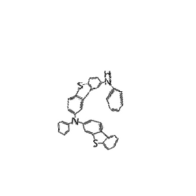 c1ccc(Nc2ccc3sc4ccc(N(c5ccccc5)c5ccc6c(c5)sc5ccccc56)cc4c3c2)cc1